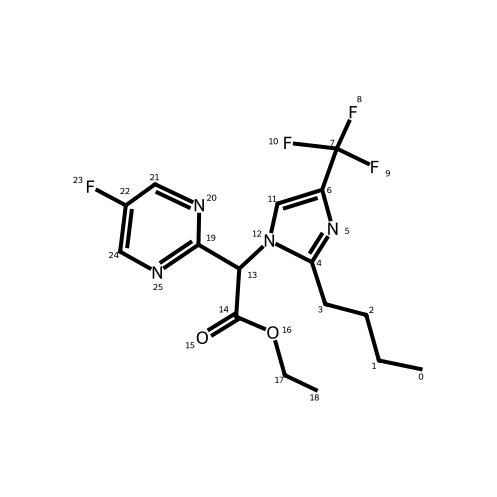 CCCCc1nc(C(F)(F)F)cn1C(C(=O)OCC)c1ncc(F)cn1